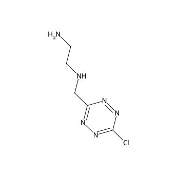 NCCNCc1nnc(Cl)nn1